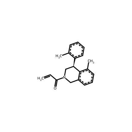 C=CC(=O)N1Cc2cccc(C)c2[C@H](c2ccccc2C)C1